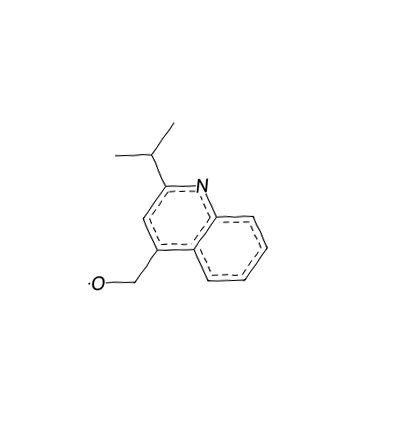 CC(C)c1cc(C[O])c2ccccc2n1